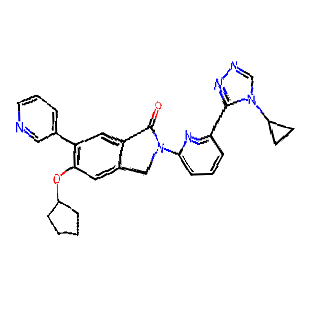 O=C1c2cc(-c3cccnc3)c(OC3CCCC3)cc2CN1c1cccc(-c2nncn2C2CC2)n1